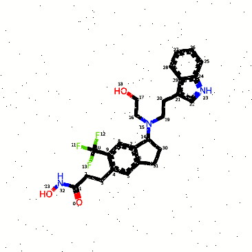 O=C(CCc1cc2c(cc1C(F)(F)F)C(N(CCO)CCc1c[nH]c3ccccc13)CC2)NO